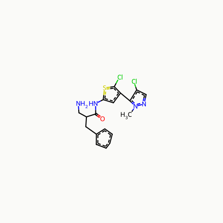 Cn1ncc(Cl)c1-c1cc(NC(=O)C(CN)Cc2ccccc2)sc1Cl